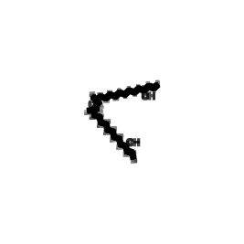 CC=CC(O)CCCCCCCCCC(C)(C)OC(C)(C)CCCCCCCCCC(O)C=CC